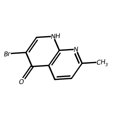 Cc1ccc2c(=O)c(Br)c[nH]c2n1